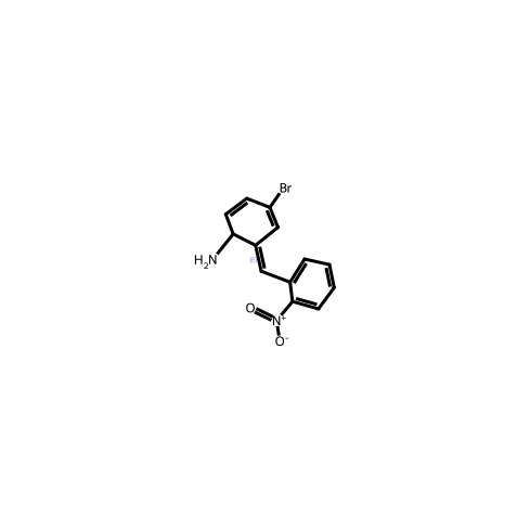 NC1C=CC(Br)=C/C1=C\c1ccccc1[N+](=O)[O-]